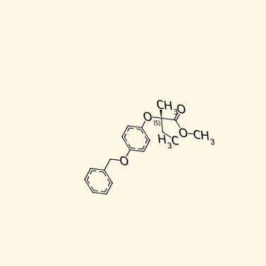 CC[C@](C)(Oc1ccc(OCc2ccccc2)cc1)C(=O)OC